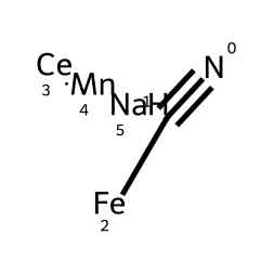 N#[C][Fe].[Ce].[Mn].[NaH]